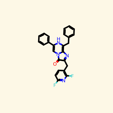 O=c1c(Cc2ccc(F)nc2F)nc2c(Cc3ccccc3)[nH]c(-c3ccccc3)cn1-2